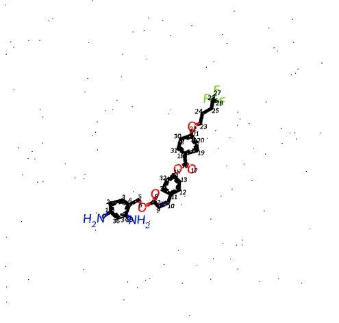 Nc1ccc(COC(=O)/C=C\c2ccc(OC(=O)c3ccc(OCCCC(F)(F)F)cc3)cc2)c(N)c1